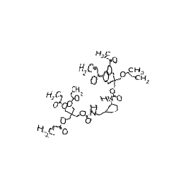 C=CC(=C)OCC(COC(=O)C=C)(COC(=O)C=C)COC(=O)NC1CCCC(CNC(=O)OCC(COC(=O)C=C)(COC(=O)C=C)COC(=O)C=C)C1